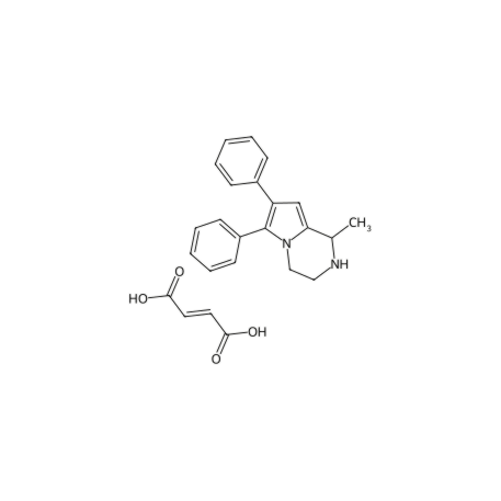 CC1NCCn2c1cc(-c1ccccc1)c2-c1ccccc1.O=C(O)C=CC(=O)O